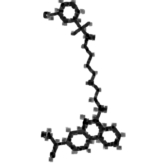 CC(C)(NCCCCOCCNc1nc2cc(C(N)=O)ccc2c2cnccc12)c1cccc(Cl)c1